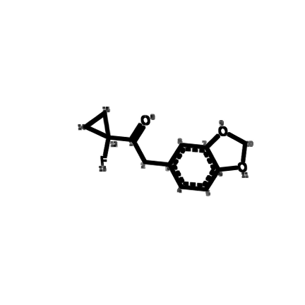 O=C(Cc1ccc2c(c1)OCO2)C1(F)CC1